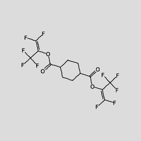 O=C(OC(=C(F)F)C(F)(F)F)C1CCC(C(=O)OC(=C(F)F)C(F)(F)F)CC1